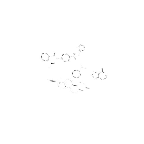 CC#C[C@]1(O)CC[C@H]2[C@@H]3CCC4=CC(=O)CCC4=C3[C@@H](c3ccc(N(C)C)cc3)C[C@@]21C.O=C(O)c1ccccc1C(=O)Nc1ccc(S(=O)(=O)Nc2nccs2)cc1.S=c1nc[nH]c2nc[nH]c12